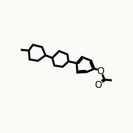 CC(=O)Oc1ccc(C2CCC(C3CCC(C)CC3)CC2)cc1